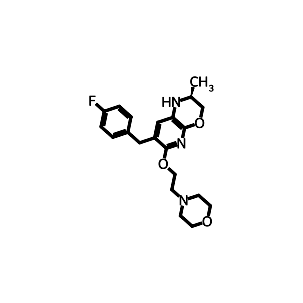 C[C@H]1COc2nc(OCCN3CCOCC3)c(Cc3ccc(F)cc3)cc2N1